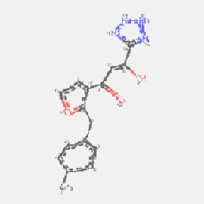 Cc1ccc(Cc2occc2C(=O)C=C(O)c2nn[nH]n2)cc1